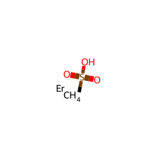 C.CS(=O)(=O)O.[Er]